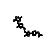 CCO[C@@H](Cc1ccc(OCc2nc(-c3ccc(OC(C)C)cc3)oc2C)cc1C)C(=O)O